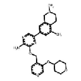 Cc1cc(-c2cnc(N)c(OCc3ccncc3OC3CCOCC3)n2)cc2c1CCN(C)C2